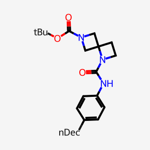 CCCCCCCCCCc1ccc(NC(=O)N2CCC23CN(C(=O)OC(C)(C)C)C3)cc1